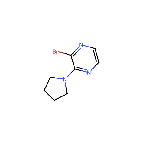 Brc1nccnc1N1CCCC1